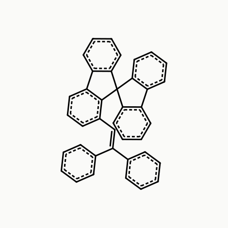 C(=C(c1ccccc1)c1ccccc1)c1cccc2c1C1(c3ccccc3-c3ccccc31)c1ccccc1-2